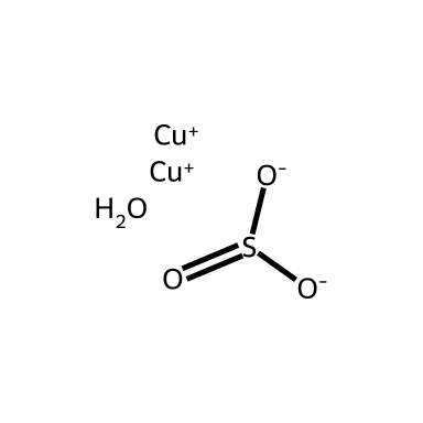 O.O=S([O-])[O-].[Cu+].[Cu+]